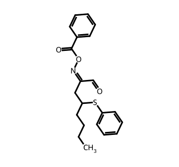 CCCCC(CC(C=O)=NOC(=O)c1ccccc1)Sc1ccccc1